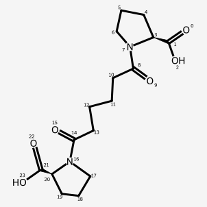 O=C(O)[C@@H]1CCCN1C(=O)CCCCC(=O)N1CCC[C@H]1C(=O)O